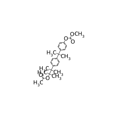 COC(=O)Oc1ccc(C(C)(C)c2ccc(C(C)(C)C(C)(C)OC(C)=O)cc2)cc1